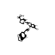 O=C(O)C1CCN(c2nc(OCc3ccc4c(c3)OCO4)c3cc(Cl)ccc3n2)CC1